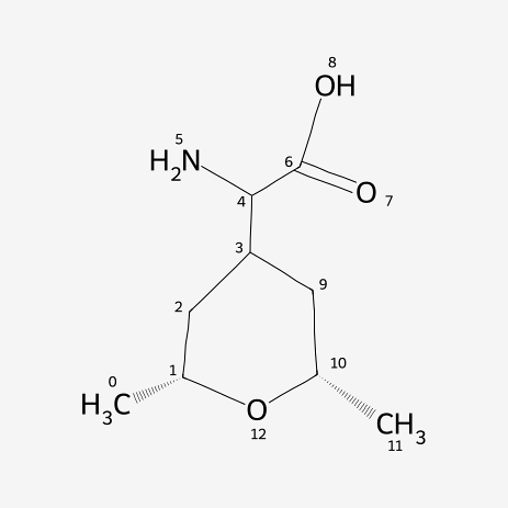 C[C@@H]1CC(C(N)C(=O)O)C[C@H](C)O1